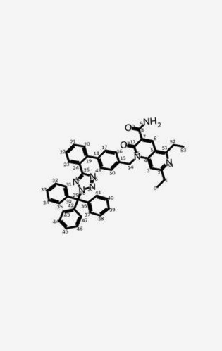 CCc1cc2c(cc(C(N)=O)c(=O)n2Cc2ccc(-c3ccccc3-c3nnn(C(c4ccccc4)(c4ccccc4)c4ccccc4)n3)cc2)c(CC)n1